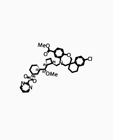 COC(=O)c1ccc2c(c1)N(C[C@@H]1CC[C@H]1[C@@H](OC)[C@H]1CCC[C@@H](S(=O)(=O)c3ncccn3)C1)CC1(CCCc3cc(Cl)ccc31)CO2